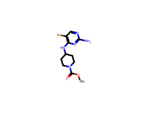 CC(C)(C)OC(=O)N1CCC(Nc2nc(N)ncc2Br)CC1